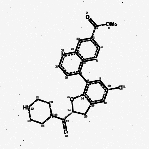 COC(=O)c1ccc2c(-c3cc(Cl)cc4c3O[C@@H](C(=O)N3CCNCC3)C4)ccnc2c1